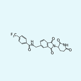 O=C1CCC(N2C(=O)c3ccc(CNC(=O)c4ccc(C(F)(F)F)cc4)cc3C2=O)C(=O)N1